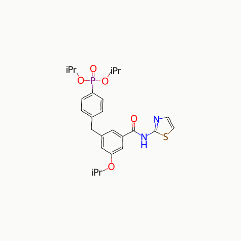 CC(C)Oc1cc(Cc2ccc(P(=O)(OC(C)C)OC(C)C)cc2)cc(C(=O)Nc2nccs2)c1